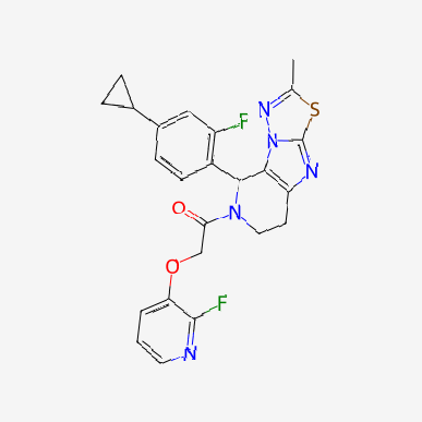 Cc1nn2c3c(nc2s1)CCN(C(=O)COc1cccnc1F)C3c1ccc(C2CC2)cc1F